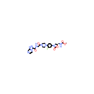 COC(=O)NC[C@H]1CN(c2ccc(N3CCN(C(=O)CNC(=O)c4nnc5cnccn45)CC3)c(F)c2)C(=O)O1